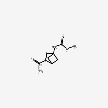 CC(C)(C)OC(=O)NC12CC(C1)C(C(N)=S)C2